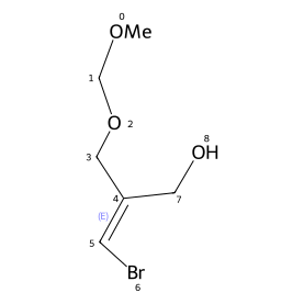 COCOC/C(=C/Br)CO